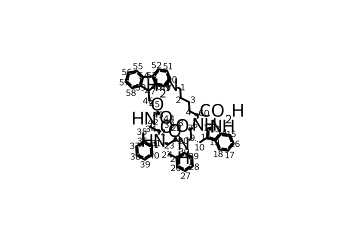 NCCCC[C@H](NC(=O)[C@H](Cc1c[nH]c2ccccc12)NC(=O)[C@H](Cc1ccccc1)NC(=O)[C@H](Cc1ccccc1)NC(=O)OCC1c2ccccc2-c2ccccc21)C(=O)O